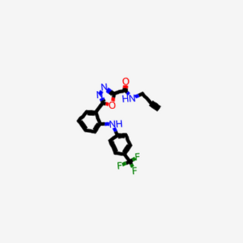 C#CCNC(=O)c1nnc(-c2ccccc2Nc2ccc(C(F)(F)F)cc2)o1